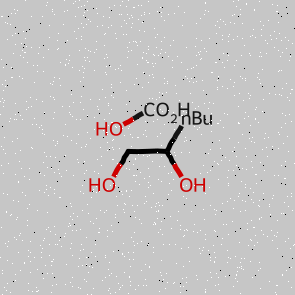 CCCCC(O)CO.O=C(O)O